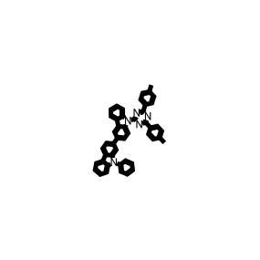 Cc1ccc(-c2nc(-c3ccc(C)cc3)nc(-n3c4ccccc4c4cc(-c5ccc6c7ccccc7n(-c7ccccc7)c6c5)ccc43)n2)cc1